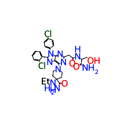 CCNC1(C(N)=O)CCN(c2nc(CC(=O)NC(CO)C(N)=O)nc3c2nc(-c2ccccc2Cl)n3-c2ccc(Cl)cc2)CC1